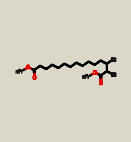 CCCOC(=O)CCCCCCCCCCCC(CC)C(CC)C(=O)OCCC